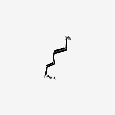 [CH2]CCCC=CC=CCCCCC